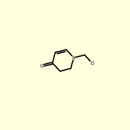 O=C1C=CN(CCl)CC1